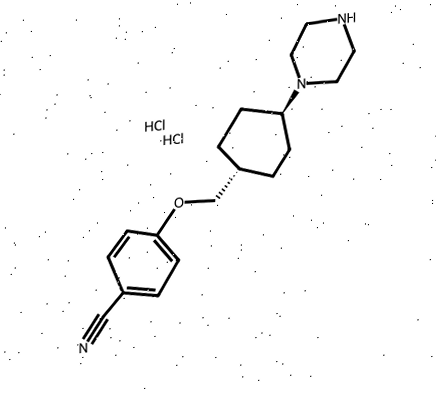 Cl.Cl.N#Cc1ccc(OC[C@H]2CC[C@H](N3CCNCC3)CC2)cc1